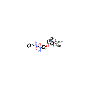 C=Nc1cc(OC)c(OC)cc1/C(=C\C)Oc1ccc(NC(=O)C(=O)NCCc2ccccc2)cc1F